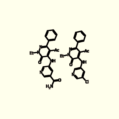 CCn1nc(-c2ccccc2)c(C(C)=O)c(Nc2cncc(C(N)=O)c2)c1=O.CCn1nc(-c2ccccc2)c(C(C)=O)c(Nc2cncc(Cl)c2)c1=O